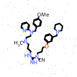 COc1ccc(CN(CCN(C)CCCNC(=N)N(C#N)CCCOc2cccc(CN3CCCCC3)c2)c2ccccn2)cc1